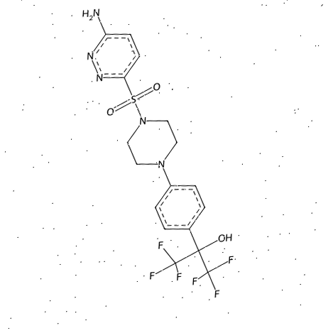 Nc1ccc(S(=O)(=O)N2CCN(c3ccc(C(O)(C(F)(F)F)C(F)(F)F)cc3)CC2)nn1